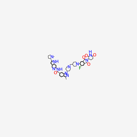 Cc1nn(C2CCN(CC3CCN(c4cc5c(cc4F)C(=O)N(C4CCC(=O)NC4=O)C5=O)CC3)CC2)c2cc(C(=O)Nc3cc4[nH]c([C@H]5CCCN5C)cc4cn3)ccc12